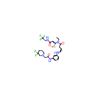 CCN(C(=O)C/C=C\Nc1cccc(NC(=O)CN2CCCC(F)(F)C2)c1)/C(=C/C(=O)NCC(F)(F)F)SC